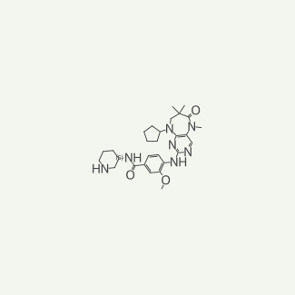 COc1cc(C(=O)N[C@H]2CCCNC2)ccc1Nc1ncc2c(n1)N(C1CCCC1)CC(C)(C)C(=O)N2C